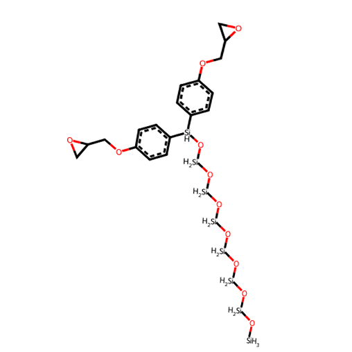 [SiH3]O[SiH2]O[SiH2]O[SiH2]O[SiH2]O[SiH2]O[SiH2]O[SiH](c1ccc(OCC2CO2)cc1)c1ccc(OCC2CO2)cc1